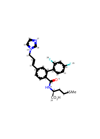 CSCC[C@H](NC(=O)c1ccc(/C=C/Cn2ccnc2)cc1-c1ccc(F)cc1F)C(=O)O